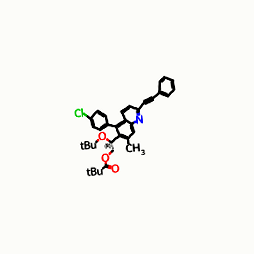 Cc1cc2nc(C#Cc3ccccc3)ccc2c(-c2ccc(Cl)cc2)c1[C@H](COC(=O)C(C)(C)C)OC(C)(C)C